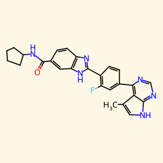 Cc1c[nH]c2ncnc(-c3ccc(-c4nc5ccc(C(=O)NC6CCCC6)cc5[nH]4)c(F)c3)c12